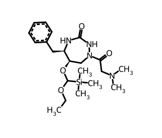 CCOC(O[C@@H]1CN(C(=O)CN(C)C)NC(=O)N[C@@H]1Cc1ccccc1)[Si](C)(C)C